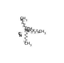 CCCCCCCC[As+](C)(CCCCCCCC)CCCCCCCC.[C-]#N